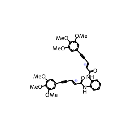 COc1cc(C#C/C=C/C(=O)Nc2ccccc2NC(=O)/C=C/C#Cc2cc(OC)c(OC)c(OC)c2)cc(OC)c1OC